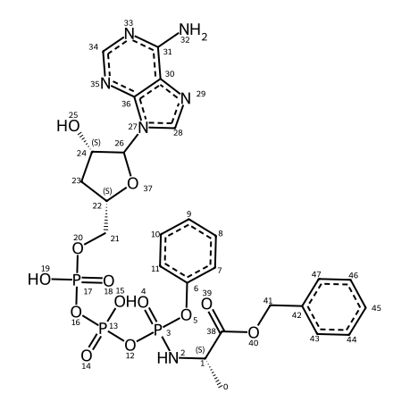 C[C@H](NP(=O)(Oc1ccccc1)OP(=O)(O)OP(=O)(O)OC[C@@H]1C[C@H](O)C(n2cnc3c(N)ncnc32)O1)C(=O)OCc1ccccc1